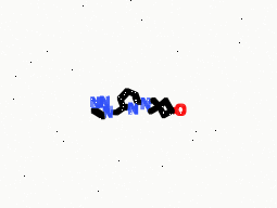 O=C1CC2(C1)CN(c1cccc(Cn3ccnn3)n1)C2